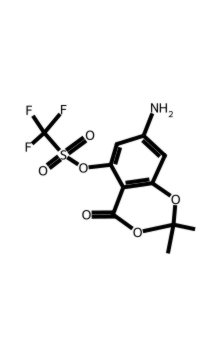 CC1(C)OC(=O)c2c(cc(N)cc2OS(=O)(=O)C(F)(F)F)O1